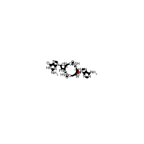 Nc1nc2c(ncn2[C@@H]2O[C@@H]3CO[P@@](=O)(S)O[C@@H]4[C@H](I)[C@@H](CO[P@](=O)(S)O[C@H]3[C@H]2F)O[C@H]4n2cnc3c(N)ncnc32)c(=O)[nH]1